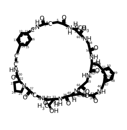 C[C@@H]1NC(=O)CCC(=O)NCc2ccc(cc2)CCNC(=O)C2CCCN2C(=O)CNC(=O)[C@H]([C@@H](C)O)NC(=O)[C@@H]2CCC(=O)NCc3cccc(c3)C[C@H](NC(=O)CNC1=O)C(=O)NCC(=O)N2C